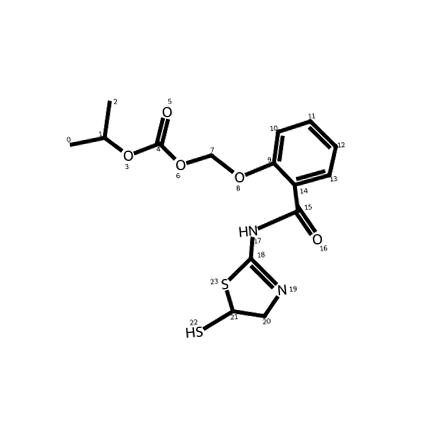 CC(C)OC(=O)OCOc1ccccc1C(=O)NC1=NCC(S)S1